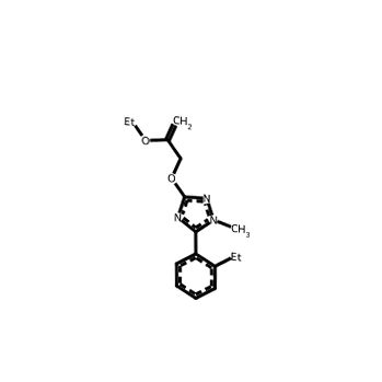 C=C(COc1nc(-c2ccccc2CC)n(C)n1)OCC